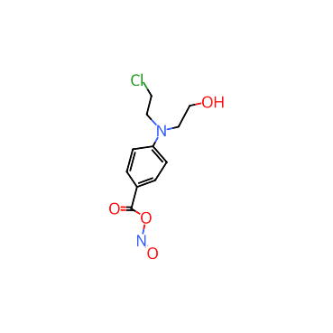 O=NOC(=O)c1ccc(N(CCO)CCCl)cc1